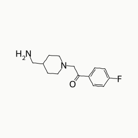 NCC1CCN(CC(=O)c2ccc(F)cc2)CC1